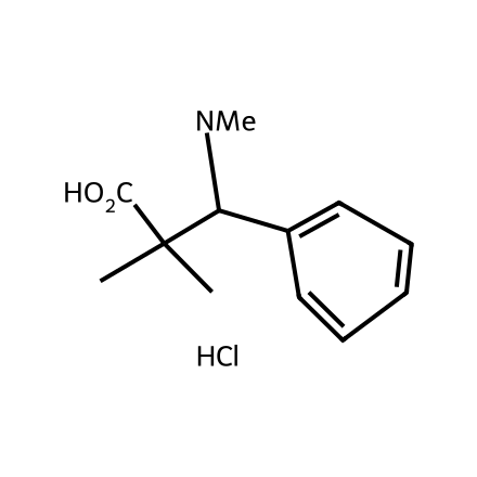 CNC(c1ccccc1)C(C)(C)C(=O)O.Cl